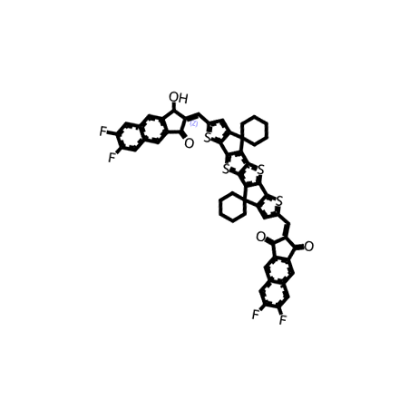 O=C1C(=Cc2cc3c(s2)-c2sc4c5c(sc4c2C32CCCCC2)-c2sc(/C=C3\C(=O)c4cc6cc(F)c(F)cc6cc4C3O)cc2C52CCCCC2)C(=O)c2cc3cc(F)c(F)cc3cc21